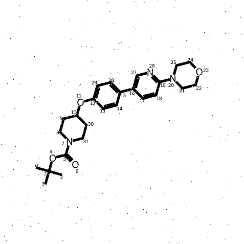 CC(C)(C)OC(=O)N1CCC(Oc2ccc(-c3ccc(N4CCOCC4)nc3)cc2)CC1